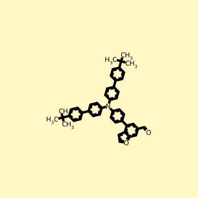 CC(C)(C)c1ccc(-c2ccc(N(c3ccc(-c4ccc(C(C)(C)C)cc4)cc3)c3ccc(-c4cc(C=O)cc5occc45)cc3)cc2)cc1